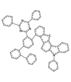 c1ccc(-c2nc(-c3ccccc3)nc(-c3cc(-c4ccccc4-c4ccccc4)ccc3-c3cccc4sc5c(ccc6c5c5ccccc5n6-c5ccccc5)c34)n2)cc1